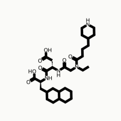 CCN(CC(=O)N[C@@H](CC(=O)O)C(=O)N[C@@H](CC1CCC2CCCCC2C1)C(=O)O)C(=O)CCCC1CCNCC1